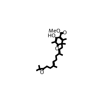 COC(=O)C1=C(C)C(C)(C/C=C(\C)CC/C=C(\C)CCC2OC2(C)C)C(=O)C(C)=C1O